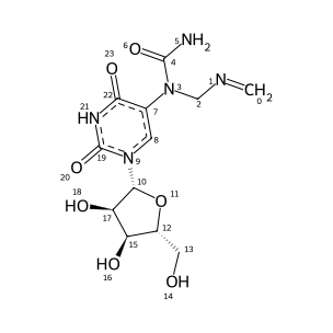 C=NCN(C(N)=O)c1cn([C@@H]2O[C@H](CO)[C@@H](O)[C@H]2O)c(=O)[nH]c1=O